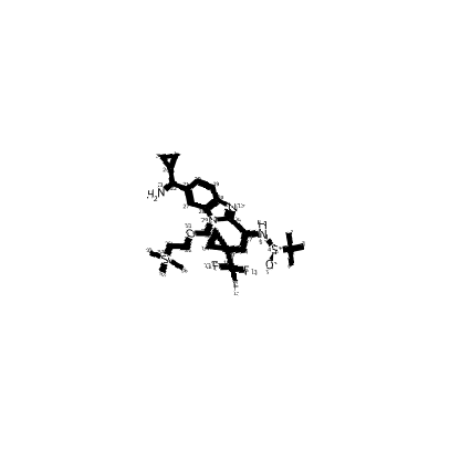 CC(C)(C)[S@@+]([O-])NC(CC1(C(F)(F)F)CC1)c1nc2ccc(C(N)C3CC3)cc2n1COCC[Si](C)(C)C